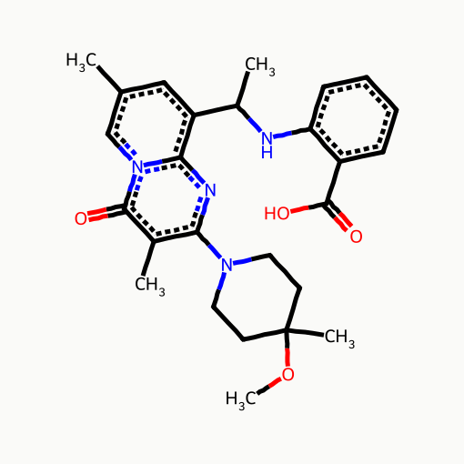 COC1(C)CCN(c2nc3c(C(C)Nc4ccccc4C(=O)O)cc(C)cn3c(=O)c2C)CC1